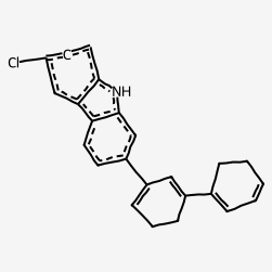 Clc1ccc2[nH]c3cc(C4=CCCC(C5=CC=CCC5)=C4)ccc3c2c1